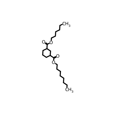 CCCCCCCCOC(=O)C1CCCC(C(=O)OCCCCCC)C1